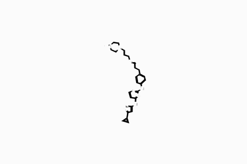 CN1CCN(CCCNC(=O)CCc2ccc(Nc3nccc(Nc4cc(C5CC5)n[nH]4)n3)cc2)CC1